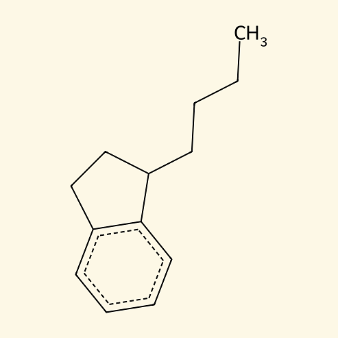 CCCCC1CCc2ccccc21